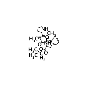 CO[C@@H](C1CCCN1)[C@@H](C)C(=O)NC(Cc1ccccc1F)C(=O)OC(C)(C)C